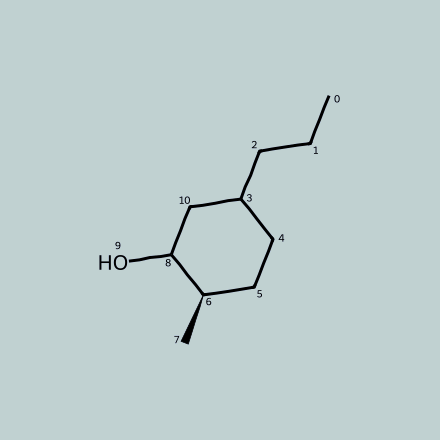 CCCC1CC[C@@H](C)C(O)C1